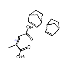 C/C(=C/C(=O)O)C(=O)O.C1=CC2CCC1C2.C1=CC2CCC1C2